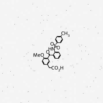 COc1ccc(CC(=O)O)cc1C(=O)c1ccccc1NS(=O)(=O)c1ccc(C)cc1